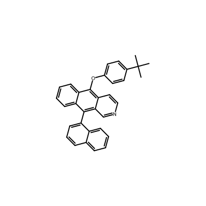 CC(C)(C)c1ccc(Oc2c3ccccc3c(-c3cccc4ccccc34)c3cnccc23)cc1